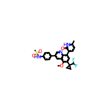 COc1c(C2(C(F)F)CC2)cc(-c2ccc(C)[nH]c2=O)c2ncc(-c3ccc(NS(C)(=O)=O)cc3)cc12